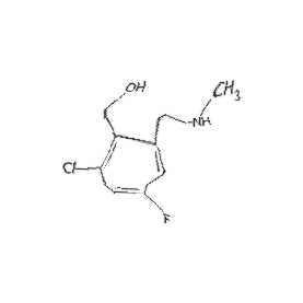 CNCc1cc(F)cc(Cl)c1CO